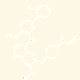 C=CC(=O)N1CCC(Oc2cc3c(Nc4cc(-c5ccccc5F)ccc4OC)ncnc3cc2OC)CC1